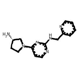 N[C@H]1CCN(c2ccnc(NCc3ccccn3)n2)C1